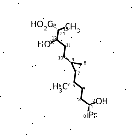 CC(C)[C@H](O)CC[C@H](C)[C@H]1C[C@@H]1CC[C@@H](O)[C@@H](C)C(=O)O